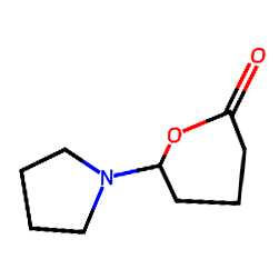 O=C1CCCC(N2CCCC2)O1